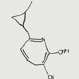 CC1CC1c1ccc(C#N)c(O)n1